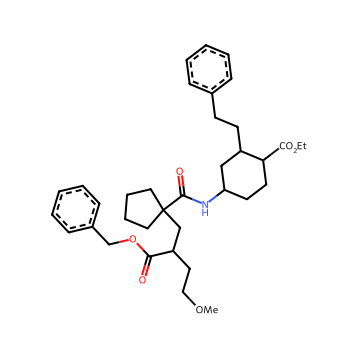 CCOC(=O)C1CCC(NC(=O)C2(CC(CCOC)C(=O)OCc3ccccc3)CCCC2)CC1CCc1ccccc1